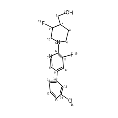 OCC1CCN(c2ncc(-c3cccc(Cl)c3)cc2F)CC1F